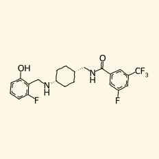 O=C(NC[C@H]1CC[C@@H](NCc2c(O)cccc2F)CC1)c1cc(F)cc(C(F)(F)F)c1